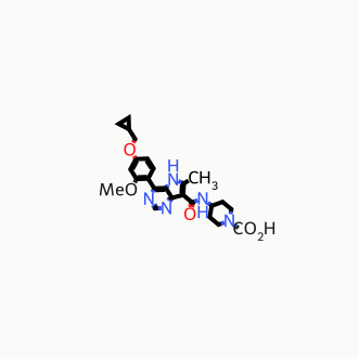 COc1cc(OCC2CC2)ccc1-c1ncnc2c(C(=O)NC3CCN(C(=O)O)CC3)c(C)[nH]c12